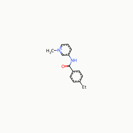 CCc1ccc(C(=O)Nc2ccc[n+](C)c2)cc1